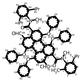 Cc1cccc(C(C)C)c1N(C)C(=O)c1cc(Oc2ccccc2)c2c3c(Oc4ccccc4)cc(C(=O)N(C)c4c(C(C)C)cccc4C(C)C)c4c(C=O)cc(Oc5ccccc5)c(c5c(Oc6ccccc6)cc(C=O)c1c52)c43